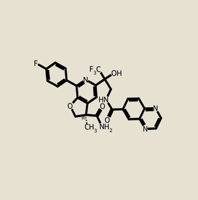 C[C@]1(C(N)=O)COc2c1cc(C(O)(CNC(=O)c1ccc3nccnc3c1)C(F)(F)F)nc2-c1ccc(F)cc1